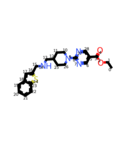 CCOC(=O)c1cnc(N2CCC(CNCc3cc4ccccc4s3)CC2)nc1